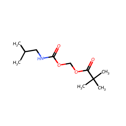 CC(C)CNC(=O)OCOC(=O)C(C)(C)C